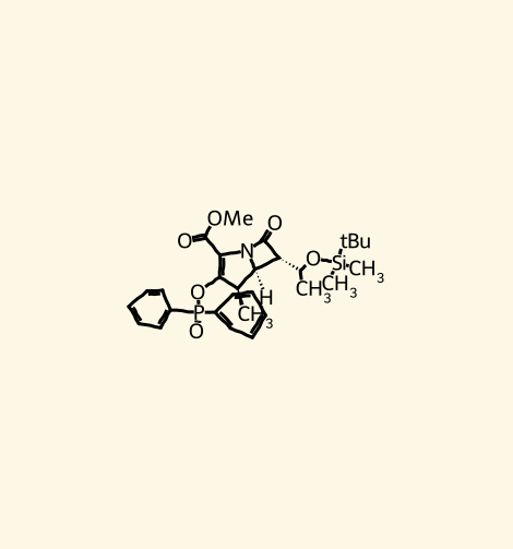 COC(=O)C1=C(OP(=O)(c2ccccc2)c2ccccc2)[C@H](C)[C@@H]2[C@@H](C(C)O[Si](C)(C)C(C)(C)C)C(=O)N12